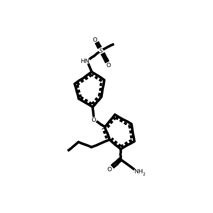 CCCc1c(Oc2ccc(NS(C)(=O)=O)cc2)cccc1C(N)=O